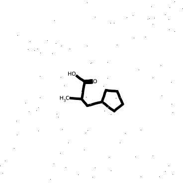 CC(CC1CCCC1)C(=O)O